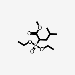 CCOP(=O)(OCC)C(CC(C)C)C(=O)OC